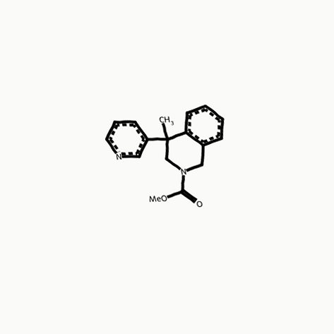 COC(=O)N1Cc2ccccc2C(C)(c2cccnc2)C1